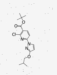 CC(C)COc1ccn(-c2ccc(C(=O)OC(C)(C)C)c(Cl)n2)n1